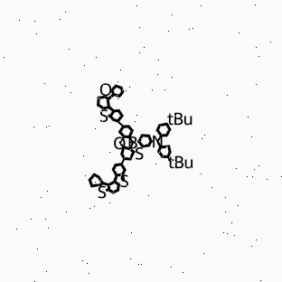 CC(C)(C)c1ccc(N(c2ccc(C(C)(C)C)cc2)c2ccc3c(c2)Sc2cc(-c4ccc5c(c4)sc4ccc6sc7ccccc7c6c45)cc4c2B3c2ccc(-c3ccc5c(c3)sc3ccc6oc7ccccc7c6c35)cc2O4)cc1